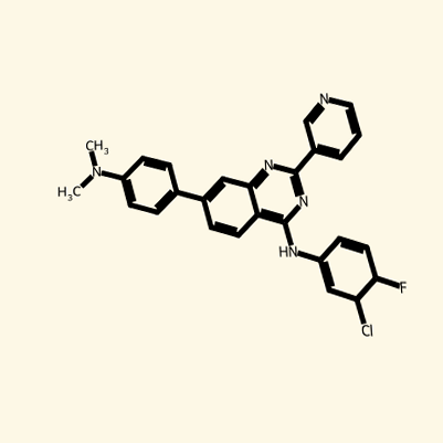 CN(C)c1ccc(-c2ccc3c(NC4=CC(Cl)C(F)C=C4)nc(-c4cccnc4)nc3c2)cc1